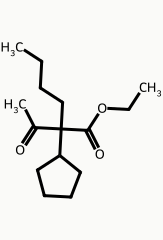 CCCCC(C(C)=O)(C(=O)OCC)C1CCCC1